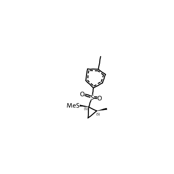 CS[C@]1(S(=O)(=O)c2ccc(C)cc2)C[C@@H]1C